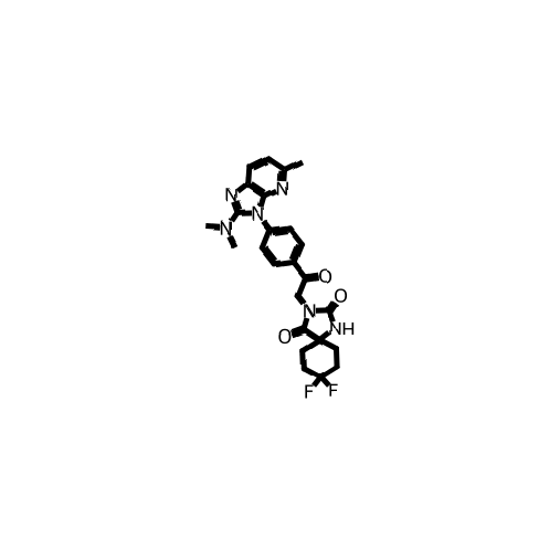 Cc1ccc2nc(N(C)C)n(-c3ccc(C(=O)CN4C(=O)NC5(CCC(F)(F)CC5)C4=O)cc3)c2n1